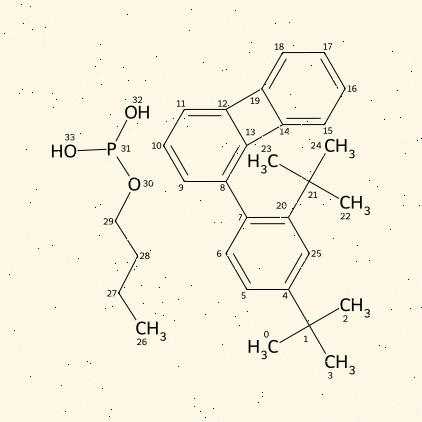 CC(C)(C)c1ccc(-c2cccc3c2-c2ccccc2-3)c(C(C)(C)C)c1.CCCCOP(O)O